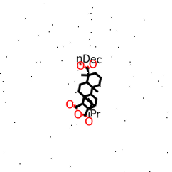 CCCCCCCCCCOC(=O)C1(C)CCCC2(C)C1CCC13C=C(C(C)C)C(CC21)C1C(=O)OC(=O)C13